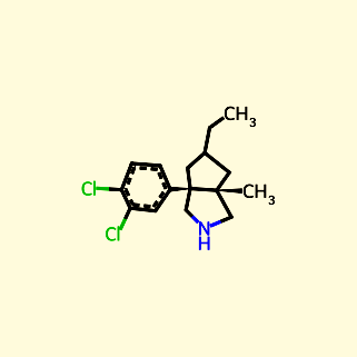 CCC1C[C@]2(C)CNC[C@]2(c2ccc(Cl)c(Cl)c2)C1